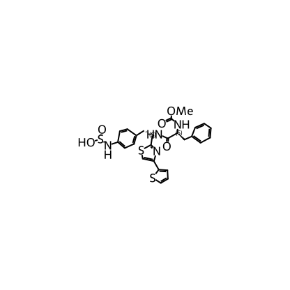 COC(=O)N[C@@H](Cc1ccccc1)C(=O)N[C@@H](Cc1ccc(NS(=O)O)cc1)c1nc(-c2cccs2)cs1